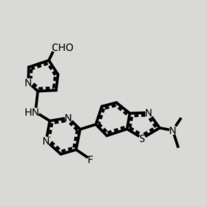 CN(C)c1nc2ccc(-c3nc(Nc4ccc(C=O)cn4)ncc3F)cc2s1